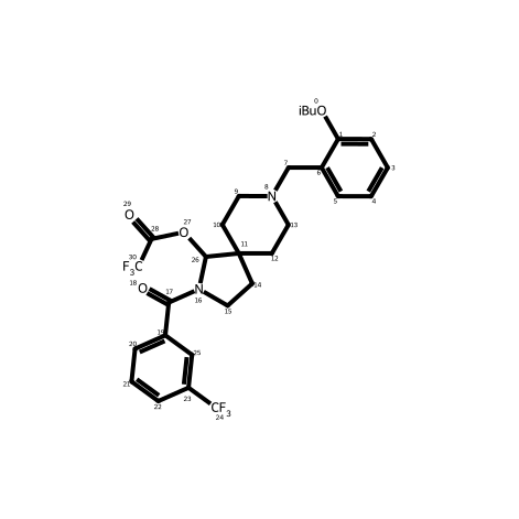 CC(C)COc1ccccc1CN1CCC2(CC1)CCN(C(=O)c1cccc(C(F)(F)F)c1)C2OC(=O)C(F)(F)F